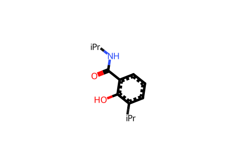 CC(C)NC(=O)c1cccc(C(C)C)c1O